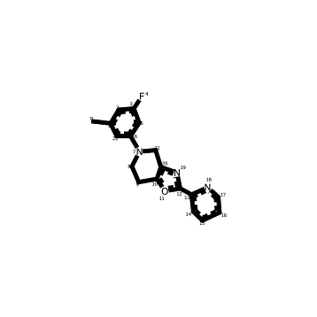 Cc1cc(F)cc(N2CCc3oc(-c4ccccn4)nc3C2)c1